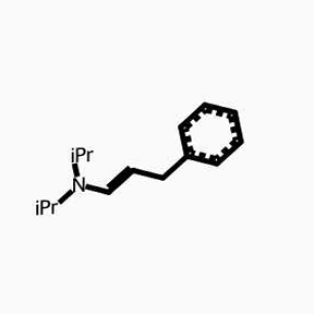 CC(C)N(C=CCc1ccccc1)C(C)C